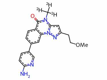 [2H]C([2H])([2H])n1c(=O)c2ccc(-c3ccc(N)nc3)cc2n2nc(CCOC)cc12